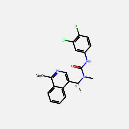 COc1ncc([C@@H](C)N(C)C(=O)Nc2ccc(F)c(Cl)c2)c2ccccc12